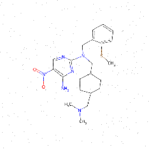 CSc1ccccc1CN(CC1CCC(CN(C)C)CC1)c1ncc([N+](=O)[O-])c(N)n1